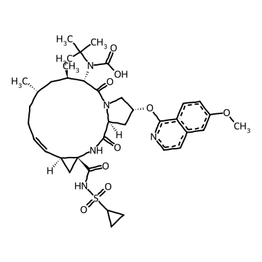 COc1ccc2c(O[C@@H]3C[C@H]4C(=O)N[C@]5(C(=O)NS(=O)(=O)C6CC6)C[C@H]5/C=C\CC[C@H](C)C[C@@H](C)[C@H](N(C(=O)O)C(C)(C)C)C(=O)N4C3)nccc2c1